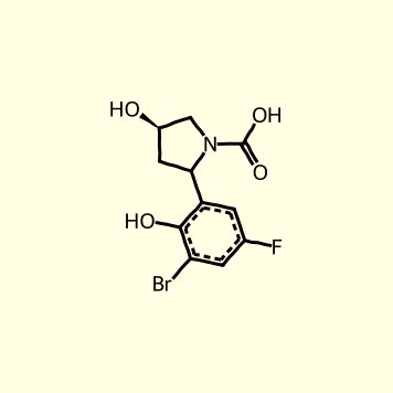 O=C(O)N1C[C@H](O)CC1c1cc(F)cc(Br)c1O